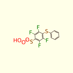 OOOSc1c(F)c(F)c(Sc2ccccc2)c(F)c1F